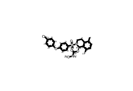 Cc1ccc(F)c2c1CCN(S(=O)(=O)c1ccc(Oc3ccc(Cl)cc3)cc1)[C@@H]2OC(=O)NO